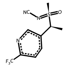 C[C@@H](c1ccc(C(F)(F)F)nc1)[S@@](C)(=O)=NC#N